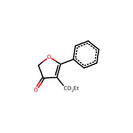 CCOC(=O)C1=C(c2ccccc2)OCC1=O